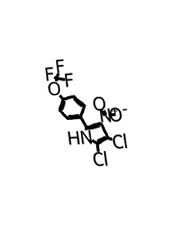 O=[N+]([O-])c1c(-c2ccc(OC(F)(F)F)cc2)[nH]c(Cl)c1Cl